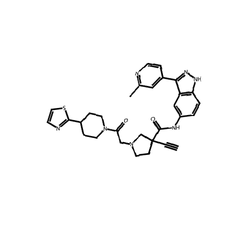 C#CC1(C(=O)Nc2ccc3[nH]nc(-c4ccnc(C)c4)c3c2)CCN(CC(=O)N2CCC(c3nccs3)CC2)C1